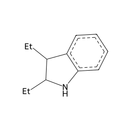 CCC1Nc2ccccc2C1CC